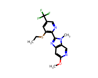 CCSc1cc(C(F)(F)F)cnc1-c1nc2cc(OC)ncc2n1C